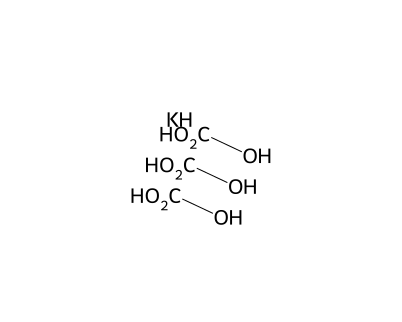 O=C(O)O.O=C(O)O.O=C(O)O.[KH]